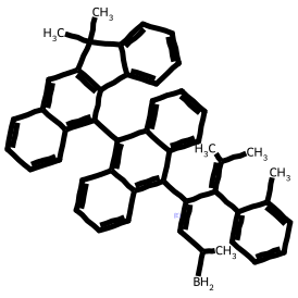 BC(C)/C=C(\C(=C(C)C)c1ccccc1C)c1c2ccccc2c(-c2c3c(cc4ccccc24)C(C)(C)c2ccccc2-3)c2ccccc12